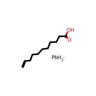 C=CCCCCCCCCC(=O)O.[PbH2]